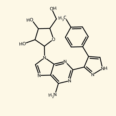 Cc1ccc(-c2c[nH]nc2-c2nc(N)c3ncn(C4OC(CO)C(O)C4O)c3n2)cc1